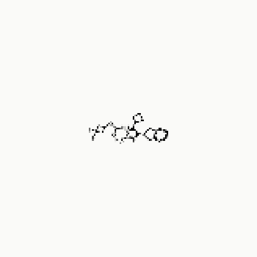 Cn1nc(C2Cc3ccccc3C2)c(C2CCC2)c1NC(=O)OC1CC(F)(F)C1